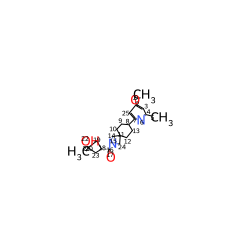 COc1cc(C)nc(C2CCC3(CC2)CN(C(=O)[C@H]2C[C@@](C)(O)C2)C3)c1